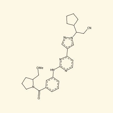 COCC1CCCN1C(=O)c1cccc(Nc2nccc(-c3cnn(C(CC#N)C4CCCC4)c3)n2)c1